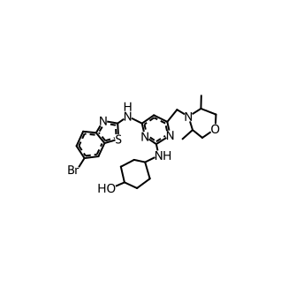 CC1COCC(C)N1Cc1cc(Nc2nc3ccc(Br)cc3s2)nc(NC2CCC(O)CC2)n1